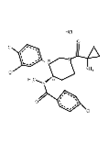 CN(C(=O)c1ccc(Cl)cc1)[C@@H]1CCN(C(=O)C2(N)CC2)C[C@H]1c1ccc(Cl)c(Cl)c1.Cl